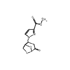 COC(=O)c1ccn(C2CC(=O)C3OCC2O3)n1